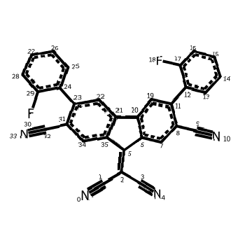 N#CC(C#N)=C1c2cc(C#N)c(-c3ccccc3F)cc2-c2cc(-c3ccccc3F)c(C#N)cc21